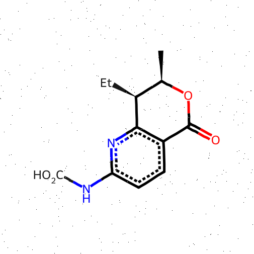 CC[C@@H]1c2nc(NC(=O)O)ccc2C(=O)O[C@@H]1C